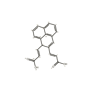 O=C(O)C=CC1=Cc2cccc3cccc(c23)C1C=CC(=O)O